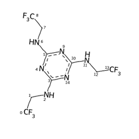 FC(F)(F)CNc1nc(NCC(F)(F)F)nc(NCC(F)(F)F)n1